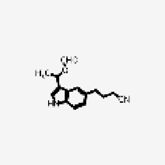 CC(OC=O)c1c[nH]c2ccc(CCCC#N)cc12